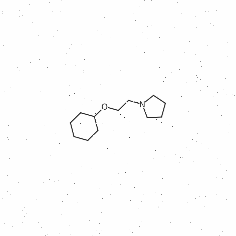 C1CCC(OCCN2CCCC2)CC1